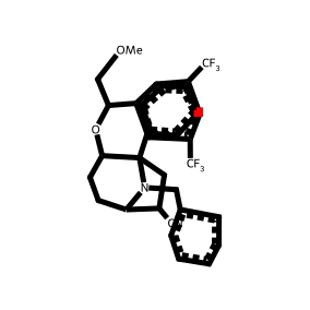 COCC(OC1CCC2C(C#N)CC1(c1ccccc1)N2Cc1ccccc1)c1cc(C(F)(F)F)cc(C(F)(F)F)c1